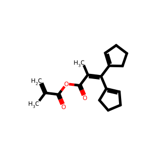 C=C(C)C(=O)OC(=O)C(C)=C(C1=CCCC1)C1=CCCC1